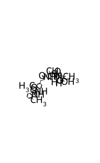 COc1cc(CCC(=O)NCC(C)(C)CNC(=O)NCC(C)C(=O)O)ccc1NC(=O)Nc1ccccc1C